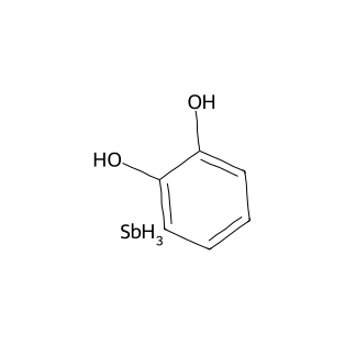 Oc1ccccc1O.[SbH3]